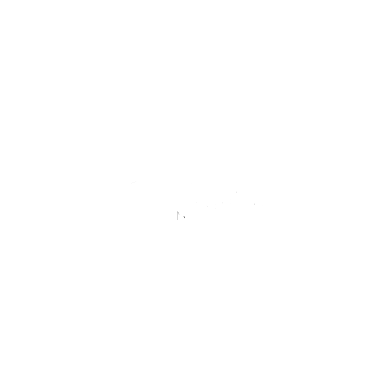 O=C(O)c1ccccc1-c1c(C=Cc2ccccc2)c(F)cn(Cc2ccccc2)c1=O